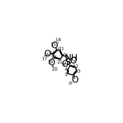 COc1ccc(S(=O)(=O)Nc2cc(OC)c(OC)c(OC)c2)cc1